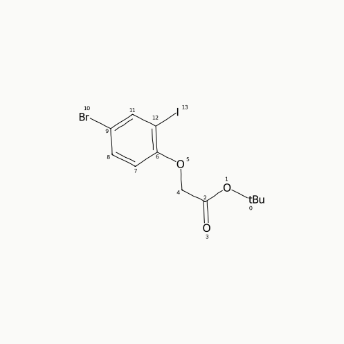 CC(C)(C)OC(=O)COc1ccc(Br)cc1I